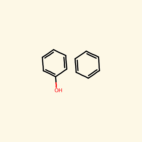 Oc1ccccc1.c1ccccc1